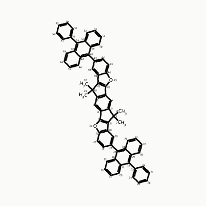 CC1(C)c2cc3c(cc2-c2oc4ccc(-c5c6ccccc6c(-c6ccccc6)c6ccccc56)cc4c21)C(C)(C)c1c-3oc2ccc(-c3c4ccccc4c(-c4ccccc4)c4ccccc34)cc12